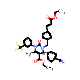 CCOC(=O)C=Cc1ccc(CN2C(=O)N(c3cccc(C(F)(F)F)c3)C(C)=C(C(=O)OCC)[C@H]2c2ccc(C#N)cc2)cc1